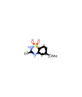 CCC1=Nc2cc(OC)ccc2S(=O)(=O)N1